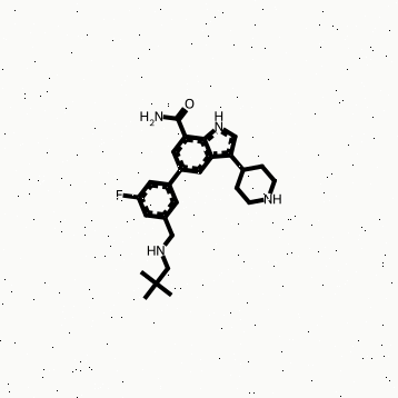 CC(C)(C)CNCc1cc(F)cc(-c2cc(C(N)=O)c3[nH]cc(C4CCNCC4)c3c2)c1